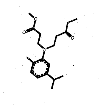 CCC(=O)CCN(CCC(=O)OC)c1cc(C(C)C)ccc1C